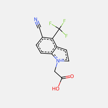 N#Cc1ccc2c(ccn2CC(=O)O)c1C(F)(F)F